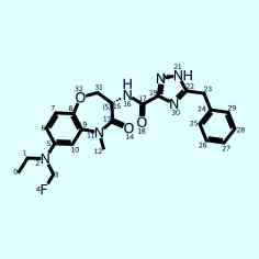 CCN(CF)c1ccc2c(c1)N(C)C(=O)[C@@H](NC(=O)c1n[nH]c(Cc3ccccc3)n1)CO2